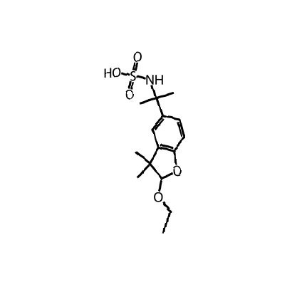 CCOC1Oc2ccc(C(C)(C)NS(=O)(=O)O)cc2C1(C)C